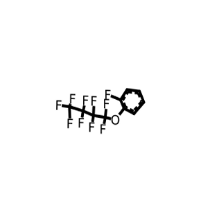 Fc1ccccc1OC(F)(F)C(F)(F)C(F)(F)C(F)(F)F